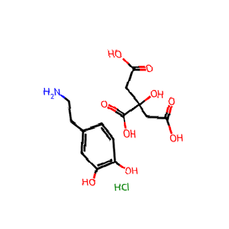 Cl.NCCc1ccc(O)c(O)c1.O=C(O)CC(O)(CC(=O)O)C(=O)O